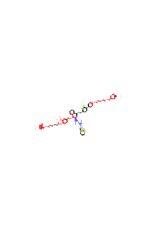 CCC1(COCCCCCCOc2ccc(COc3c(/C=N/N=C(\C)c4cc5ccccc5s4)cc(CCc4ccc(-c5ccc(OCCCCCOCC6CCC7OC7C6)cc5)c(F)c4F)c4ccccc34)cc2OC)COC1